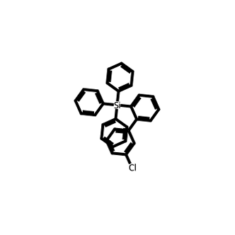 Clc1cccc(-c2ccccc2[Si](c2ccccc2)(c2ccccc2)c2ccccc2)c1